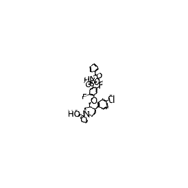 O=C(NS(=O)(=O)c1cc(F)c(OCC2CN(C(=O)O)CCC2c2ccc(Cl)cc2)cc1F)c1ccccc1